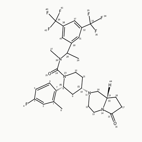 Cc1cc(F)ccc1[C@H]1C[C@@H](N2CCN3C(=O)CC[C@H]3C2)CCN1C(=O)N(C)C(C)c1cc(C(F)(F)F)cc(C(F)(F)F)c1